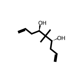 C=CC[C@@H](O)C(C)(C)[C@H](O)CC=C